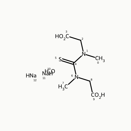 CN(CC(=O)O)C(=S)N(C)CC(=O)O.O.[NaH].[NaH]